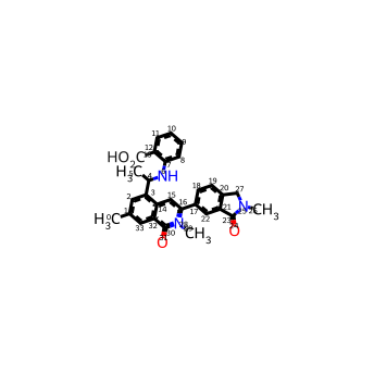 Cc1cc(C(C)Nc2ccccc2C(=O)O)c2cc(-c3ccc4c(c3)C(=O)N(C)C4)n(C)c(=O)c2c1